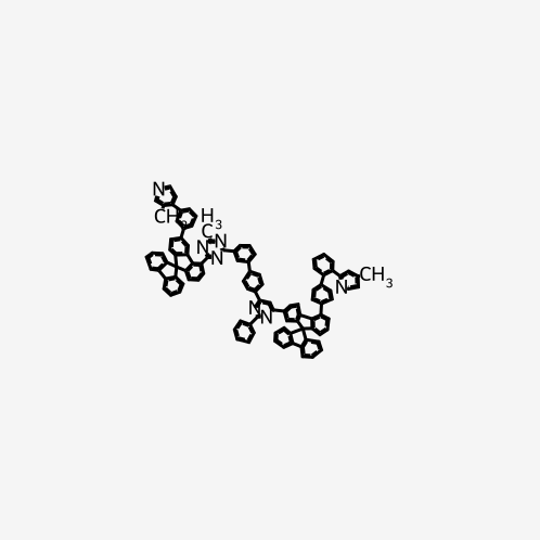 Cc1ccnc(-c2ccccc2-c2ccc(-c3cccc4c3-c3ccc(-c5cc(-c6ccc(-c7cccc(-c8nc(C)nc(-c9cccc%10c9-c9cc(-c%11cccc(-c%12ccncc%12C)c%11)ccc9C%109c%10ccccc%10-c%10ccccc%109)n8)c7)cc6)nc(-c6ccccc6)n5)cc3C43c4ccccc4-c4ccccc43)cc2)c1